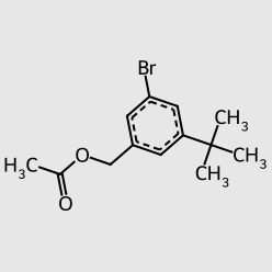 CC(=O)OCc1cc(Br)cc(C(C)(C)C)c1